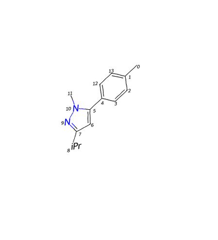 Cc1ccc(-c2cc(C(C)C)nn2C)cc1